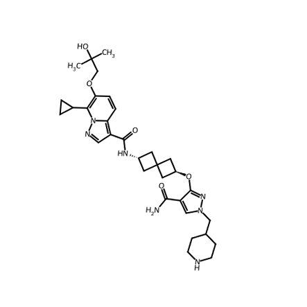 CC(C)(O)COc1ccc2c(C(=O)N[C@H]3CC4(C3)C[C@H](Oc3nn(CC5CCNCC5)cc3C(N)=O)C4)cnn2c1C1CC1